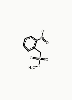 COS(=O)(=O)Cc1ccccc1[N+](=O)[O-]